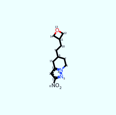 O=[N+]([O-])c1cc2n(n1)CCC(CCC1COC1)C2